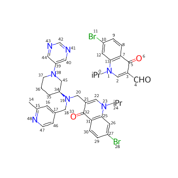 CC(C)n1cc(C=O)c(=O)c2ccc(Br)cc21.Cc1cc(CN(Cc2cn(C(C)C)c3cc(Br)ccc3c2=O)[C@H]2CCCN(c3cncnc3)C2)ccn1